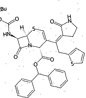 CC(C)(C)OC(=O)N[C@@H]1C(=O)N2[C@@H](C(=O)OC(c3ccccc3)c3ccccc3)C(C(Cc3cccs3)=C3CCNC3=O)=CS[C@H]12